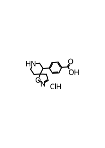 Cl.O=C(O)c1ccc(C2CNCCC23CC=NO3)cc1